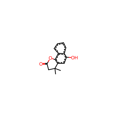 CC1(C)CC(=O)Oc2c1cc(O)c1ccccc21